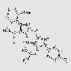 CSc1ccccc1-n1nc(Cn2nc(-c3ccc(Cl)cc3)n(C[C@H](O)C(F)(F)F)c2=O)nc1C(N)=O